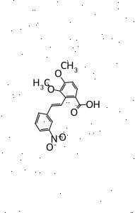 COc1ccc(C(=O)O)c(/C=C/c2cccc([N+](=O)[O-])c2)c1OC